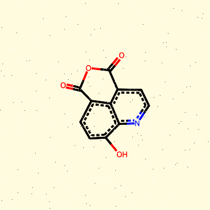 O=C1OC(=O)c2ccc(O)c3nccc1c23